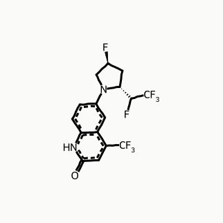 O=c1cc(C(F)(F)F)c2cc(N3C[C@@H](F)C[C@@H]3C(F)C(F)(F)F)ccc2[nH]1